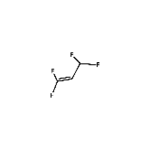 F[C](F)C=C(F)F